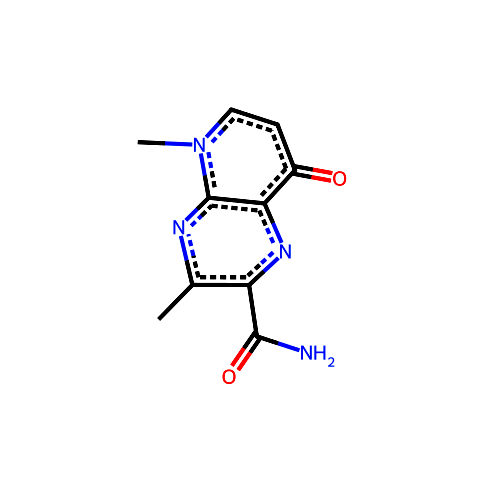 Cc1nc2c(nc1C(N)=O)c(=O)ccn2C